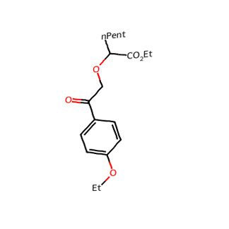 CCCCCC(OCC(=O)c1ccc(OCC)cc1)C(=O)OCC